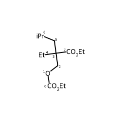 CCOC(=O)OCC(CC)(CC(C)C)C(=O)OCC